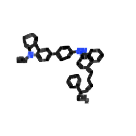 C=C(/C=C\C/C=C(\C=C/C(C)Nc1ccc(-c2ccc3c(c2)c2ccccc2n3C(C)(C)C)cc1)c1ccccc1)c1ccccc1